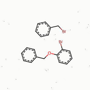 BrCc1ccccc1.Brc1ccccc1OCc1ccccc1